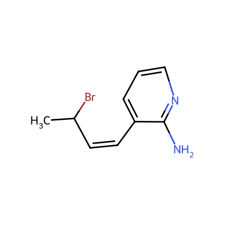 CC(Br)/C=C\c1cccnc1N